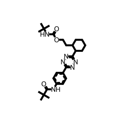 CC(C)(C)NC(=O)OCCC1CCCCC1c1nnc(-c2ccc(NC(=O)C(C)(C)C)cc2)nn1